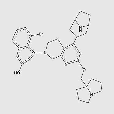 Oc1cc(N2CCc3c(nc(OCC45CCCN4CCC5)nc3C3CC4CCC(C3)N4)C2)c2c(Br)cccc2c1